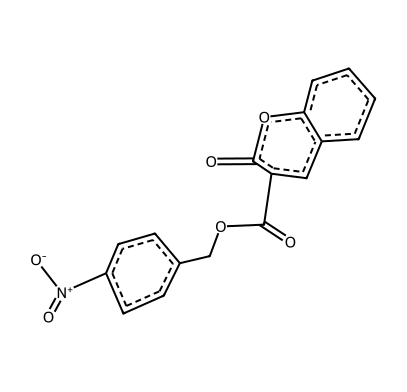 O=C(OCc1ccc([N+](=O)[O-])cc1)c1cc2ccccc2oc1=O